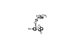 CS(=O)(=O)NC(=O)[C@H]1C[C@H](OCCOc2cc(Br)ccc2-c2cc(=O)c3cccc(Cl)c3o2)C1